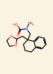 CN(CC1(CC2OCCO2)CCCc2ccccc21)C(=O)O